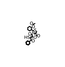 CC(=O)OC1CCCCC1C1SC[C@@H](C(=O)O)N1C(=O)CC(S)C(=O)c1ccccc1